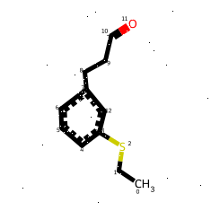 CCSc1cccc(CC[C]=O)c1